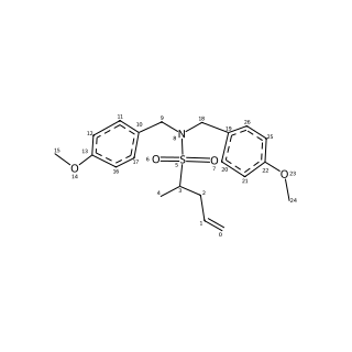 C=CCC(C)S(=O)(=O)N(Cc1ccc(OC)cc1)Cc1ccc(OC)cc1